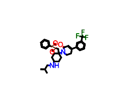 CC(C)CNC1CCC(CS(=O)(=O)c2ccccc2)(N2CCC(c3cccc(C(F)(F)F)c3)=CC2=O)CC1